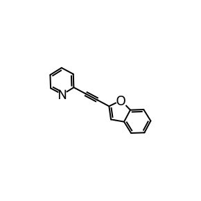 C(#Cc1cc2ccccc2o1)c1ccccn1